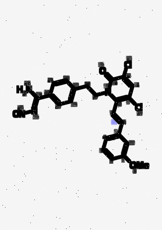 COc1cccc(/C=C/c2c(Cl)cc(Cl)c(=O)n2CCc2ccc(C(N)=NN=O)cc2)c1